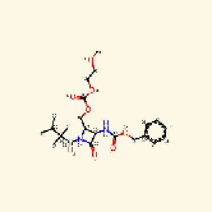 COCCOC(=O)OCC1C(NC(=O)OCc2ccccc2)C(=O)N1[SiH2]C(C)(C)C(C)C